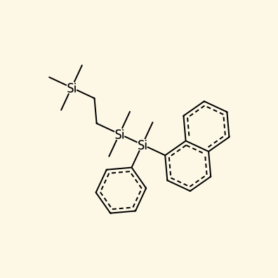 C[Si](C)(C)CC[Si](C)(C)[Si](C)(c1ccccc1)c1cccc2ccccc12